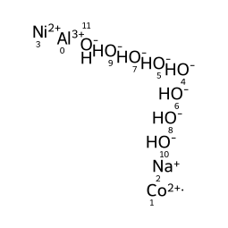 [Al+3].[Co+2].[Na+].[Ni+2].[OH-].[OH-].[OH-].[OH-].[OH-].[OH-].[OH-].[OH-]